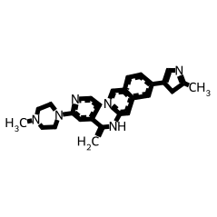 C=C(Nc1cc2cc(C3=CN=C(C)C3)ccc2cn1)c1ccnc(N2CCN(C)CC2)c1